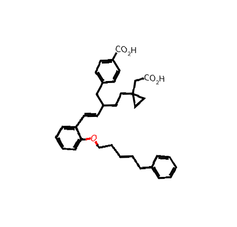 O=C(O)CC1(CCC(/C=C/c2ccccc2OCCCCCc2ccccc2)Cc2ccc(C(=O)O)cc2)CC1